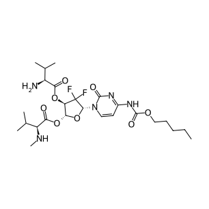 CCCCCOC(=O)Nc1ccn([C@@H]2O[C@H](OC(=O)[C@@H](NC)C(C)C)[C@@H](OC(=O)[C@@H](N)C(C)C)C2(F)F)c(=O)n1